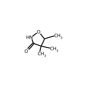 CC1ONC(=O)C1(C)C